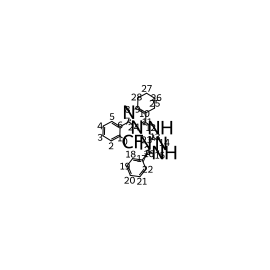 FC(F)(F)c1ccccc1-c1nc2c(c(Nc3n[nH]c(-c4ccccc4)n3)n1)CCCC2